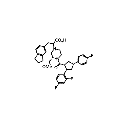 COC[C@H]1CN([C@@H](Cc2ccc3c(c2)CCC3)C(=O)O)CCN1C(=O)[C@@H]1CN(c2ccc(F)cc2)C[C@H]1c1ccc(F)cc1F